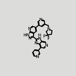 FC1(F)CCN(Cc2cncc(-c3cnc4[nH]nc(-c5nc6c(-c7cccnc7)cncc6[nH]5)c4c3)c2)C1